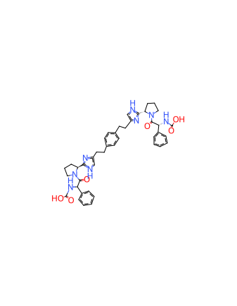 O=C(O)N[C@@H](C(=O)N1CCC[C@H]1c1nc(CCc2ccc(CCc3c[nH]c([C@@H]4CCCN4C(=O)[C@H](NC(=O)O)c4ccccc4)n3)cc2)c[nH]1)c1ccccc1